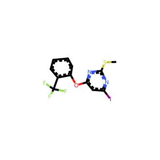 CSc1nc(I)cc(Oc2ccccc2C(F)(F)F)n1